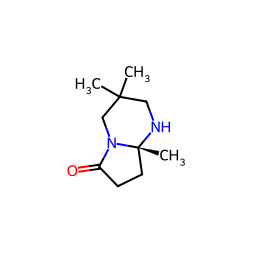 CC1(C)CN[C@]2(C)CCC(=O)N2C1